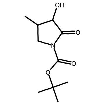 CC1CN(C(=O)OC(C)(C)C)C(=O)C1O